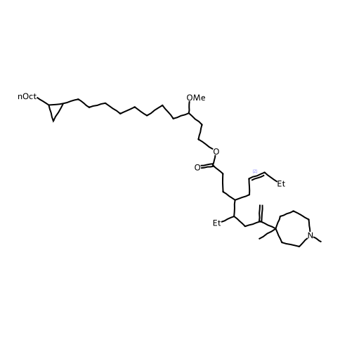 C=C(CC(CC)C(C/C=C\CC)CCC(=O)OCCC(CCCCCCCCC1CC1CCCCCCCC)OC)C1(C)CCCN(C)CC1